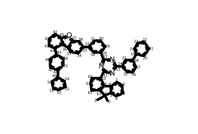 CC1(C)c2ccccc2-c2c(-c3nc(-c4cccc(-c5ccccc5)c4)nc(-c4cccc(-c5ccc6c(c5)oc5cccc(-c7ccc(-c8ccccc8)cc7)c56)c4)n3)cccc21